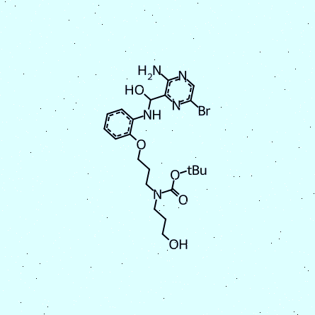 CC(C)(C)OC(=O)N(CCCO)CCCOc1ccccc1NC(O)c1nc(Br)cnc1N